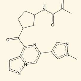 C=C(C)C(=O)NC1CCC(C(=O)c2nc(-c3cnn(C)c3)cn3nccc23)C1